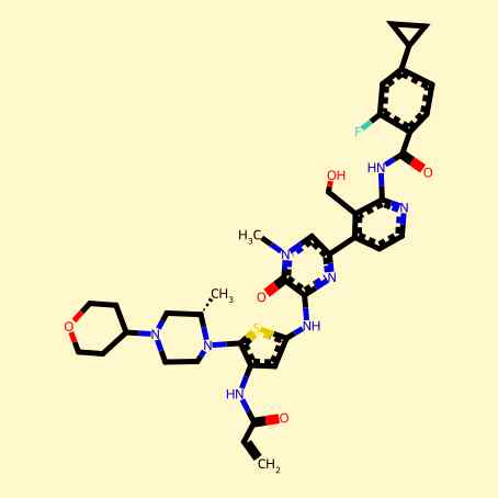 C=CC(=O)Nc1cc(Nc2nc(-c3ccnc(NC(=O)c4ccc(C5CC5)cc4F)c3CO)cn(C)c2=O)sc1N1CCN(C2CCOCC2)C[C@@H]1C